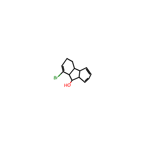 OC1C2C=CC=CC2C2CCC=C(Br)C12